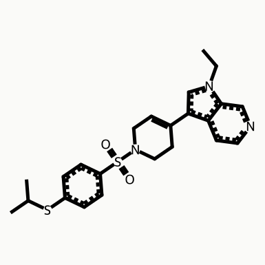 CCn1cc(C2=CCN(S(=O)(=O)c3ccc(SC(C)C)cc3)CC2)c2ccncc21